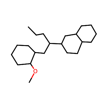 CCCC(CC1CCCCC1OC)C1CCC2CCCCC2C1